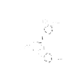 COC(=O)[C@H](Cc1ccc(O)cc1)NC(=O)/C=C/c1ccc(O)c(O)c1